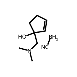 BC#N.CN(C)CC1(O)C=CCC1